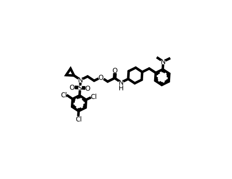 CN(C)c1ccccc1CC1CCC(NC(=O)COCCN(C2CC2)S(=O)(=O)c2c(Cl)cc(Cl)cc2Cl)CC1